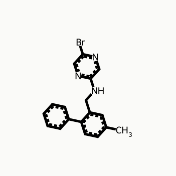 Cc1ccc(-c2ccccc2)c(CNc2cnc(Br)cn2)c1